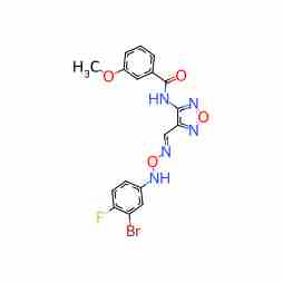 COc1cccc(C(=O)Nc2nonc2/C=N/ONc2ccc(F)c(Br)c2)c1